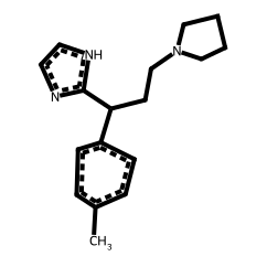 Cc1ccc(C(CCN2CCCC2)c2ncc[nH]2)cc1